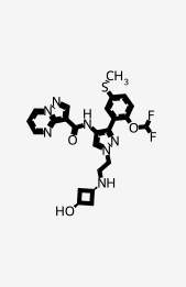 CSc1ccc(OC(F)F)c(-c2nn(CCN[C@H]3C[C@H](O)C3)cc2NC(=O)c2cnn3cccnc23)c1